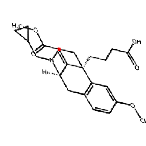 COC(=O)/C=C1\[C@H]2Cc3ccc(OC)cc3[C@]1(CCCC(=O)O)CCN2CC1CC1